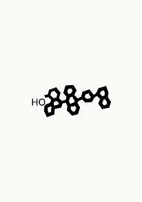 CC1CC=Cc2c(-c3c4ccccc4c(-c4ccc(-c5cccc6ccccc56)cc4)c4ccccc34)cc3cccc(O)c3c21